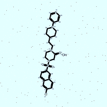 Cl.O=C1CN(S(=O)(=O)c2ccc3cc(Cl)ccc3c2)CCN1CCC1CCN(c2ccncc2)CC1